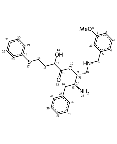 COc1cccc(CNC[C@@H](OC(=O)C(O)CCSc2ccccc2)[C@@H](N)Cc2ccccc2)c1